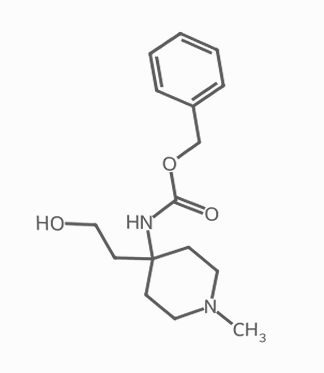 CN1CCC(CCO)(NC(=O)OCc2ccccc2)CC1